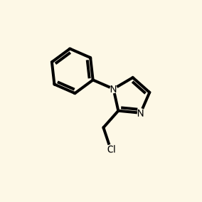 ClCc1nccn1-c1ccccc1